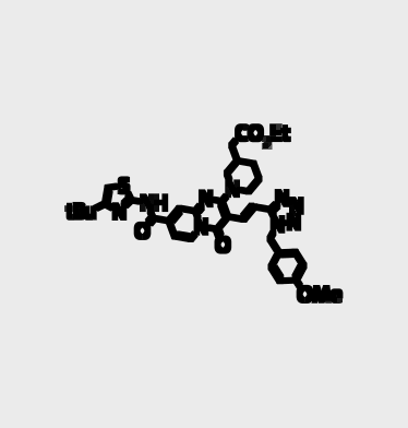 CCOC(=O)CC1CCCN(c2nc3cc(C(=O)Nc4nc(C(C)(C)C)cs4)ccn3c(=O)c2/C=C/c2nnnn2Cc2ccc(OC)cc2)C1